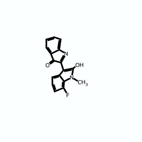 Cn1c(O)c(C2=Nc3ccccc3C2=O)c2cccc(F)c21